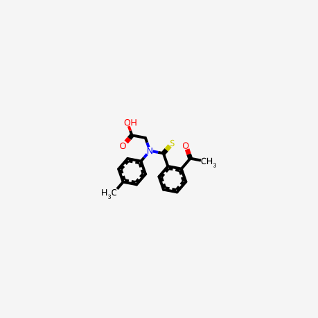 CC(=O)c1ccccc1C(=S)N(CC(=O)O)c1ccc(C)cc1